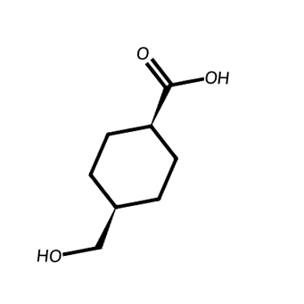 O=C(O)[C@H]1CC[C@@H](CO)CC1